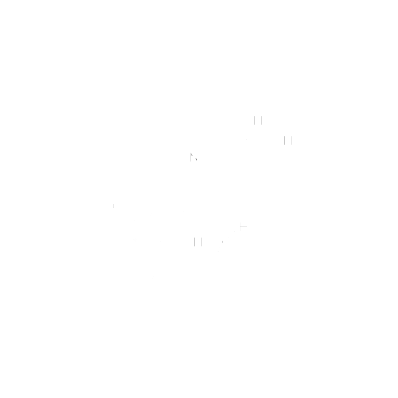 CC(=O)O.Cc1ccc(C(N)CCOc2cc(C(F)(F)F)cc3ccccc23)cc1C